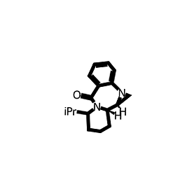 CC(C)C1CCC[C@H]2[C@@H]3CN3c3ccccc3C(=O)N12